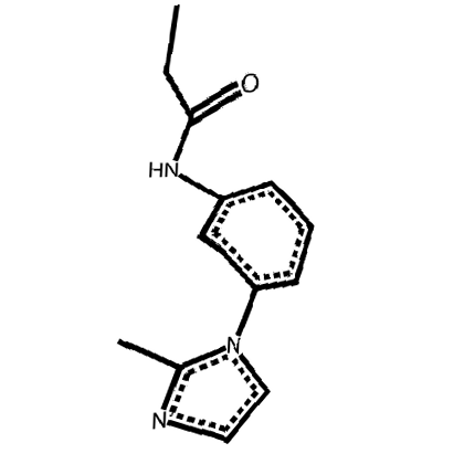 CCC(=O)Nc1cccc(-n2ccnc2C)c1